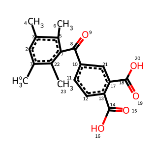 Cc1cc(C)c(C)c(C(=O)c2ccc(C(=O)O)c(C(=O)O)c2)c1C